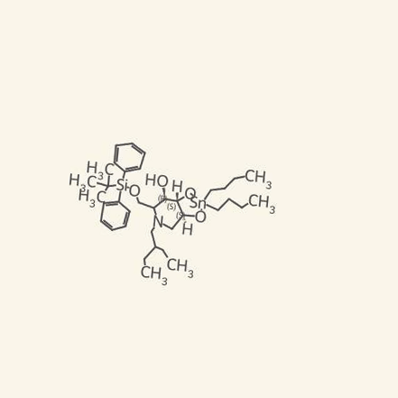 CCC[CH2][Sn]1([CH2]CCC)[O][C@@H]2[C@H](CN(CC(CC)CC)C(CO[Si](c3ccccc3)(c3ccccc3)C(C)(C)C)[C@H]2O)[O]1